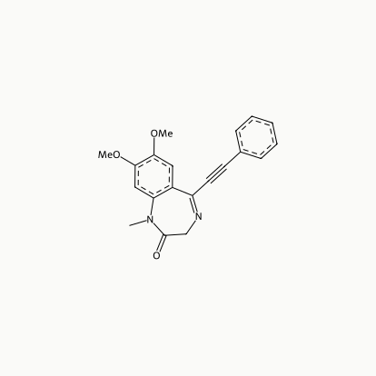 COc1cc2c(cc1OC)N(C)C(=O)CN=C2C#Cc1ccccc1